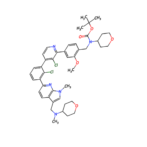 COc1cc(-c2nccc(-c3cccc(-c4ccc5c(CN(C)C6CCOCC6)cn(C)c5n4)c3Cl)c2Cl)ccc1CN(C(=O)OC(C)(C)C)C1CCOCC1